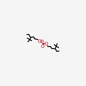 CCC(CCCOOC(=O)OCCCC(CC)C(C)(C)C)C(C)(C)C